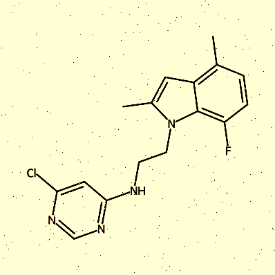 Cc1ccc(F)c2c1cc(C)n2CCNc1cc(Cl)ncn1